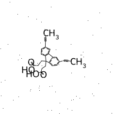 CC#Cc1ccc2c(c1)-c1cc(C#CC)ccc1C2(CCC(=O)O)CCC(=O)O